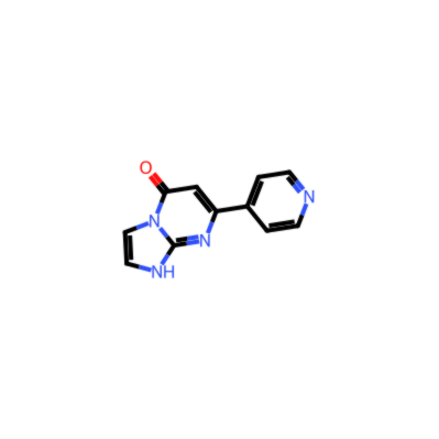 O=c1cc(-c2ccncc2)nc2[nH]ccn12